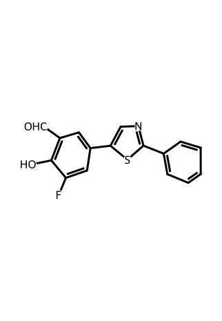 O=Cc1cc(-c2cnc(-c3ccccc3)s2)cc(F)c1O